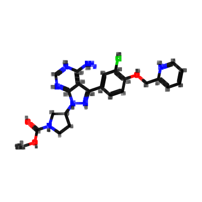 CC(C)(C)OC(=O)N1CCC(n2nc(-c3ccc(OCc4ccccn4)c(Cl)c3)c3c(N)ncnc32)C1